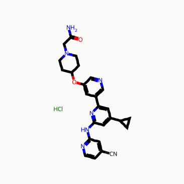 Cl.N#Cc1ccnc(Nc2cc(C3CC3)cc(-c3cncc(OC4CCN(CC(N)=O)CC4)c3)n2)c1